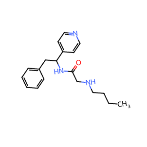 CCCCNCC(=O)NC(Cc1ccccc1)c1ccncc1